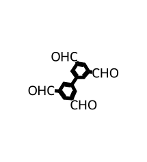 O=Cc1cc(C=O)cc(-c2cc(C=O)cc(C=O)c2)c1